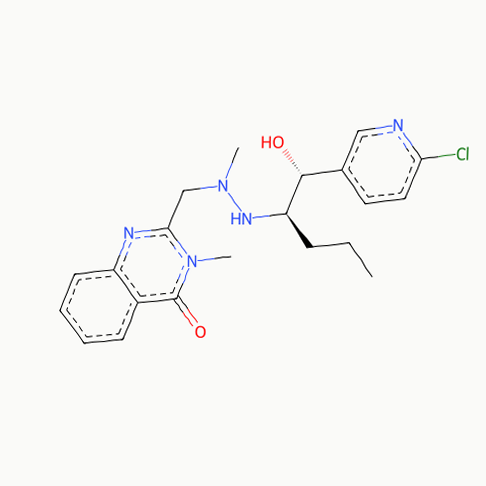 CCC[C@@H](NN(C)Cc1nc2ccccc2c(=O)n1C)[C@H](O)c1ccc(Cl)nc1